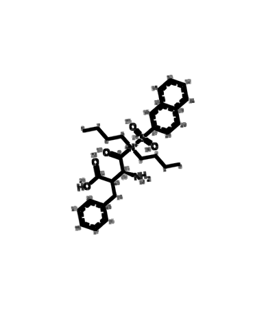 CCCC[N+](CCCC)(C(=O)[C@@H](N)C(Cc1ccccc1)C(=O)O)S(=O)(=O)c1ccc2ccccc2c1